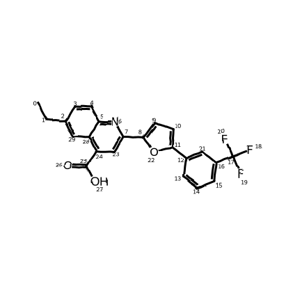 CCc1ccc2nc(-c3ccc(-c4cccc(C(F)(F)F)c4)o3)cc(C(=O)O)c2c1